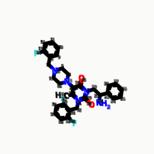 Cc1c(N2CCN(Cc3ccccc3F)CC2)c(=O)n(CC(N)c2ccccc2)c(=O)n1Cc1c(F)cccc1F